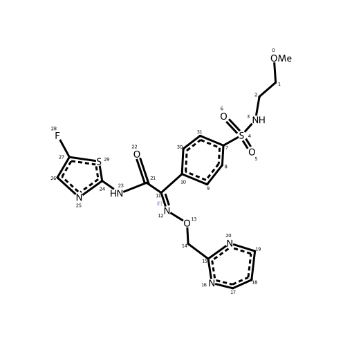 COCCNS(=O)(=O)c1ccc(/C(=N\OCc2ncccn2)C(=O)Nc2ncc(F)s2)cc1